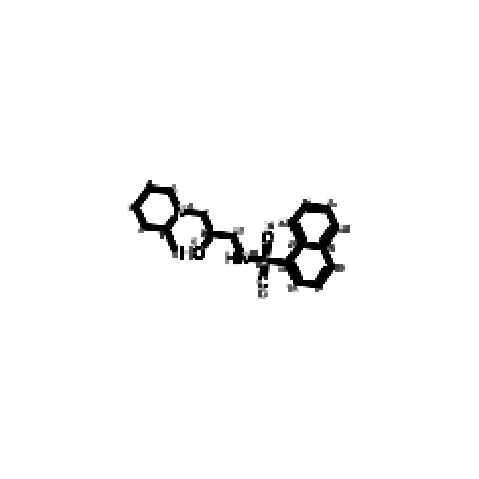 CC1CCCCN1CC(O)CNS(=O)(=O)c1cccc2ccccc12